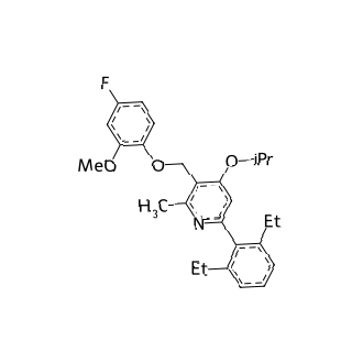 CCc1cccc(CC)c1-c1cc(OC(C)C)c(COc2ccc(F)cc2OC)c(C)n1